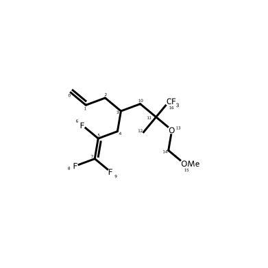 C=CCC(CC(F)=C(F)F)CC(C)(OCOC)C(F)(F)F